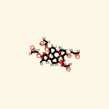 C=CCc1cc(-c2ccc(O[C@@H]3CCO3)c(CC=C)c2-c2c(-c3ccc(OCC4CO4)c(C)c3)ccc(OCC3CO3)c2CC=C)ccc1OCC1CO1